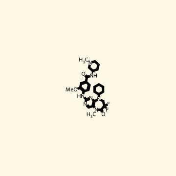 COc1cc(C(=O)N[C@@H]2CCCN(C)C2)ccc1Nc1ncc2c(n1)N(C1CCCCC1)CC(F)(F)C(=O)N2C